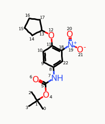 CC(C)(C)OC(=O)Nc1ccc(OC2CCCC2)c([N+](=O)[O-])c1